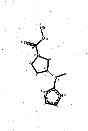 CN(c1nccs1)[C@@H]1CCN(C(=O)OC(C)(C)C)C1